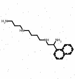 NCCCNCCCCNCC(N)c1cccc2ccccc12